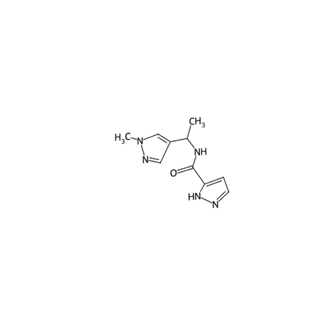 CC(NC(=O)c1ccn[nH]1)c1cnn(C)c1